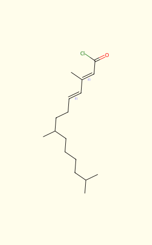 CC(/C=C/CCC(C)CCCCC(C)C)=C\C(=O)Cl